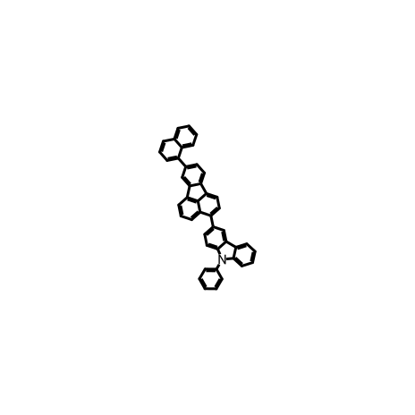 c1ccc(-n2c3ccccc3c3cc(-c4ccc5c6c(cccc46)-c4cc(-c6cccc7ccccc67)ccc4-5)ccc32)cc1